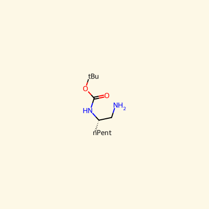 CCCCC[C@@H](CN)NC(=O)OC(C)(C)C